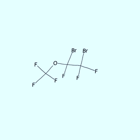 FC(F)(F)OC(F)(Br)C(F)(F)Br